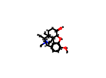 COc1ccc2c3c1OC1C(=O)CC[C@@]4(C)[C@@H](C2)N(C)CC[C@]314